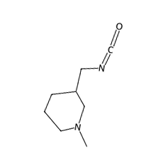 CN1CCCC(CN=C=O)C1